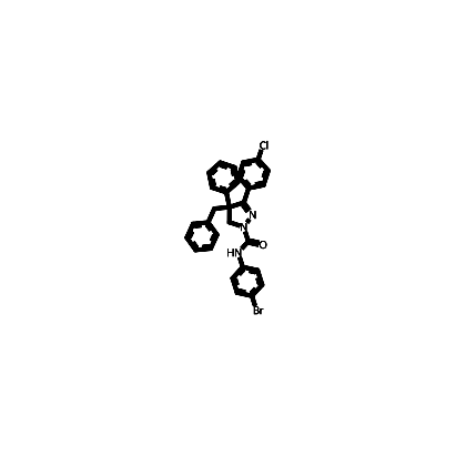 O=C(Nc1ccc(Br)cc1)N1CC(Cc2ccccc2)(c2ccccc2)C(c2ccc(Cl)cc2)=N1